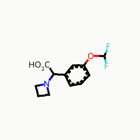 O=C(O)C(c1cccc(OC(F)F)c1)N1CCC1